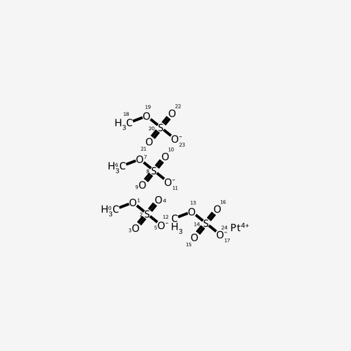 COS(=O)(=O)[O-].COS(=O)(=O)[O-].COS(=O)(=O)[O-].COS(=O)(=O)[O-].[Pt+4]